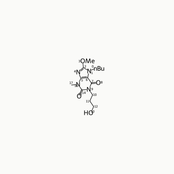 CCCCn1c(OC)nc2c1c(=O)n(CCCO)c(=O)n2C